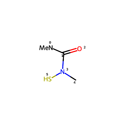 CNC(=O)N(C)S